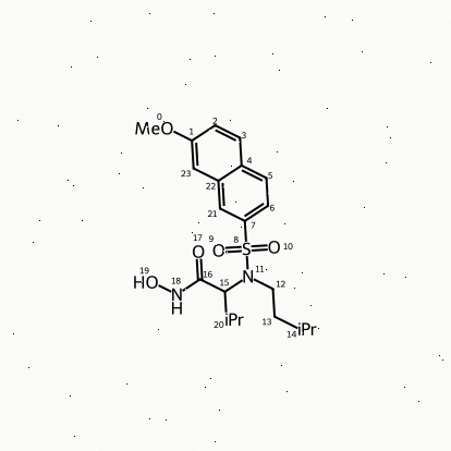 COc1ccc2ccc(S(=O)(=O)N(CCC(C)C)C(C(=O)NO)C(C)C)cc2c1